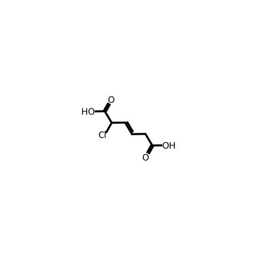 O=C(O)C/C=C/C(Cl)C(=O)O